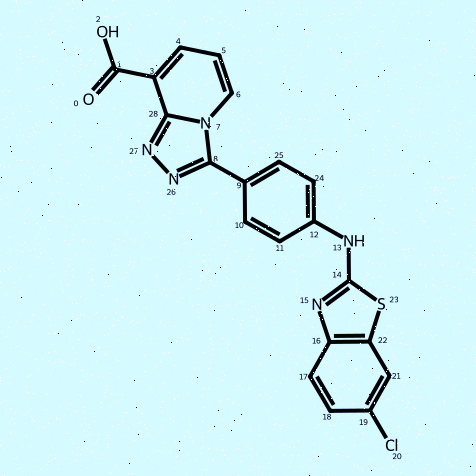 O=C(O)c1cccn2c(-c3ccc(Nc4nc5ccc(Cl)cc5s4)cc3)nnc12